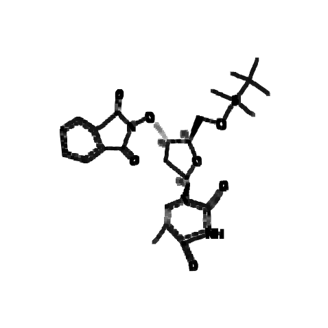 Cc1cn([C@H]2C[C@H](ON3C(=O)c4ccccc4C3=O)[C@@H](CO[Si](C)(C)C(C)(C)C)O2)c(=O)[nH]c1=O